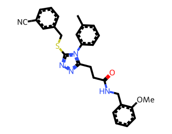 COc1ccccc1CNC(=O)CCc1nnc(SCc2cccc(C#N)c2)n1-c1cccc(C)c1